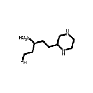 O=S(=O)(O)C(CCO)CCC1CNCCN1